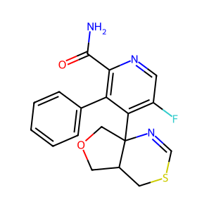 NC(=O)c1ncc(F)c(C23COCC2CSC=N3)c1-c1ccccc1